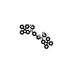 Cn1c(-c2ccc(N(c3cccnc3)c3ccc4c(c3)C(c3ccccc3)(c3ccccc3)c3ccccc3-4)cc2)ccc1N(c1cccnc1)c1ccc2c(c1)C(c1ccccc1)(c1ccccc1)c1ccccc1-2